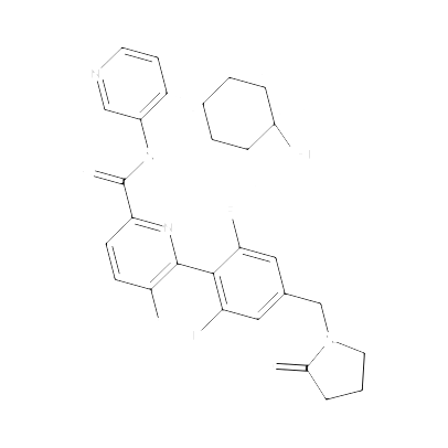 C[C@@H]1C[C@H](c2ccncc2NC(=O)c2ccc(F)c(-c3c(F)cc(CN4CCCC4=O)cc3F)n2)C[C@H](O)[C@@]1(C)O